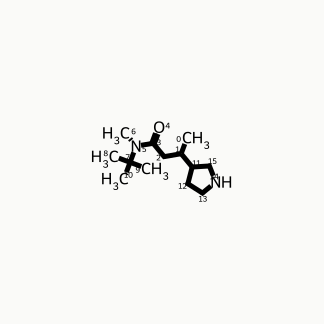 CC(CC(=O)N(C)C(C)(C)C)C1CCNC1